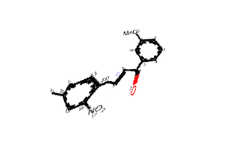 COc1cccc(C(=O)/C=C/c2ccc(C)cc2[N+](=O)[O-])c1